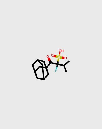 CC(C)C(F)(C(=O)C12CC3CC(CC(C3)C1)C2)S(=O)(=O)O